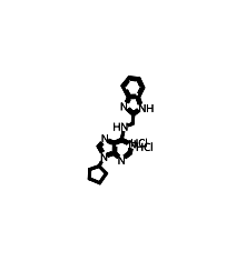 Cl.Cl.c1ccc2[nH]c(CNc3ncnc4c3ncn4C3CCCC3)nc2c1